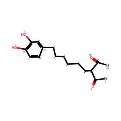 CCC(=O)C(CCCCCCc1ccc(O)c(O)c1)C(=O)CC